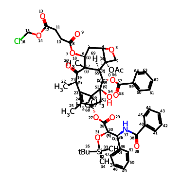 CC(=O)O[C@@]12COC1C[C@H](OC(=O)CCC(=O)OCCl)[C@@]1(C)C(=O)[C@H](C)C3=C(C)[C@@H](OC(=O)[C@H](O[Si](C)(C)C(C)(C)C)[C@@H](NC(=O)c4ccccc4)c4ccccc4)C[C@@](O)([C@@H](OC(=O)c4ccccc4)[C@@H]12)C3(C)C